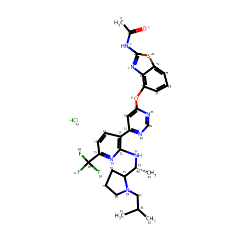 CC(=O)Nc1nc2c(Oc3cc(-c4ccc(C(F)(F)F)nc4N[C@H](C)C4CCCN4CC(C)C)ncn3)cccc2s1.Cl